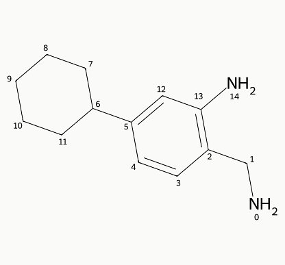 NCc1ccc(C2CCCCC2)cc1N